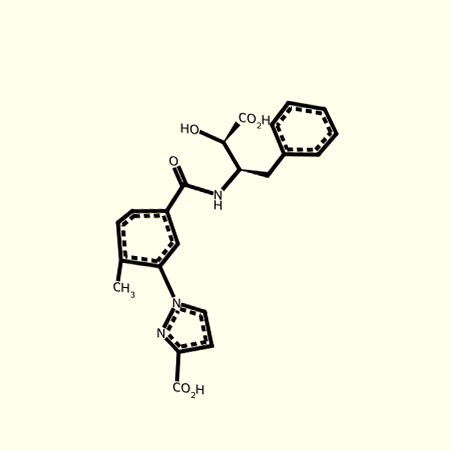 Cc1ccc(C(=O)N[C@H](Cc2ccccc2)[C@@H](O)C(=O)O)cc1-n1ccc(C(=O)O)n1